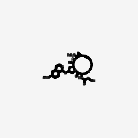 CCOC(=O)C12CC1C=CCCCSCC(NC(=O)OC(C)(C)C)C(=O)N1CC(Oc3nccc4cc(OC)ccc34)CC1C(=O)N2